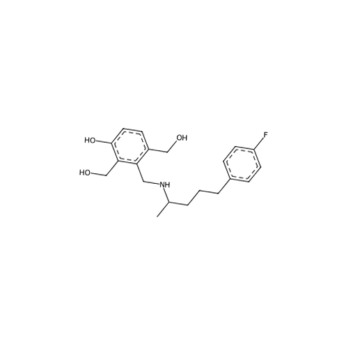 CC(CCCc1ccc(F)cc1)NCc1c(CO)ccc(O)c1CO